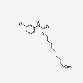 CCCCCCCCCCCCCCCCCCSC(=O)Nc1cccc(Cl)c1